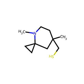 CN1CCC(C)(CS)CC12CC2